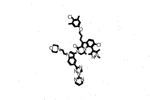 Cc1cc(OCCCc2c3n(c4c(-c5c(C)nn(C)c5C)c(Cl)ccc24)C(C)CN(c2cn(CCN4CCOCC4)c4ccc(-c5ncn(-c6ncccn6)n5)cc24)C3=O)cc(C)c1Cl